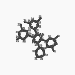 Cc1cc(C)cc(-c2nc(-c3cc(C)cc(C)c3)c(-c3cc(C)cc(C)c3)nc2-c2ccccc2)c1